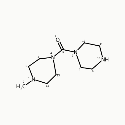 CN1CCN(C(=O)N2CCNCC2)CC1